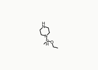 CCO[SiH](C)N1CCNCC1